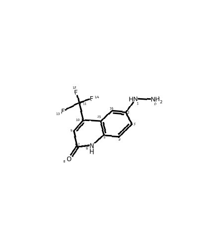 NNc1ccc2[nH]c(=O)cc(C(F)(F)F)c2c1